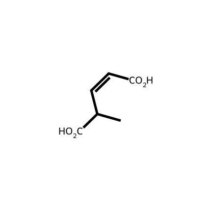 CC(/C=C\C(=O)O)C(=O)O